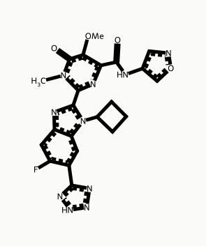 COc1c(C(=O)Nc2cnoc2)nc(-c2nc3cc(F)c(-c4nn[nH]n4)cc3n2C2CCC2)n(C)c1=O